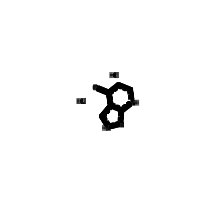 Cl.Cl.O=c1cc[nH]c2n[nH]cc12